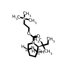 CCC(C)(C)[C@H]1[C@@H]2CC[C@H](CN1C(=O)OCCS(C)(C)C)N2